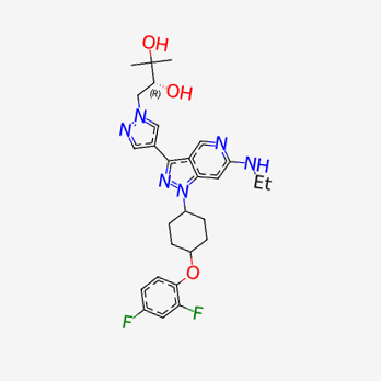 CCNc1cc2c(cn1)c(-c1cnn(C[C@@H](O)C(C)(C)O)c1)nn2C1CCC(Oc2ccc(F)cc2F)CC1